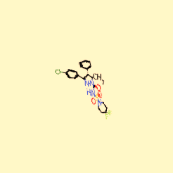 C[C@@H]1[C@@H](c2ccccc2)C(c2ccc(Cl)cc2)=NN1C(=O)NS(=O)(=O)N1CCC(F)(F)CC1